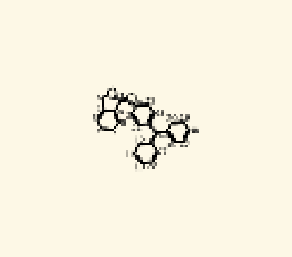 O=C1OCc2ccccc21.c1ccc(C(c2ccccc2)c2ccccc2)cc1